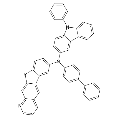 c1ccc(-c2ccc(N(c3ccc4sc5cc6ncccc6cc5c4c3)c3ccc4c(c3)c3ccccc3n4-c3ccccc3)cc2)cc1